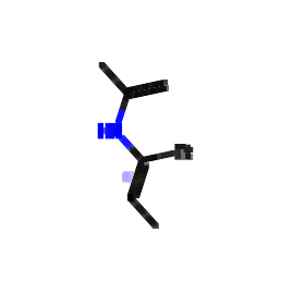 C=C(C)N/C(=C/C)CC